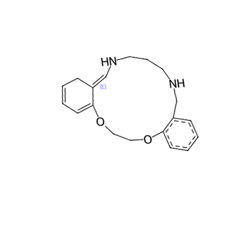 C1=CC/C2=C\NCCCNCc3ccccc3OCCOC2=C1